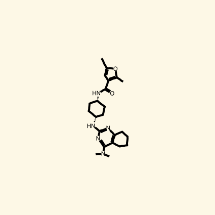 Cc1cc(C(=O)N[C@H]2CC[C@@H](Nc3nc4c(c(N(C)C)n3)CCCC4)CC2)c(C)o1